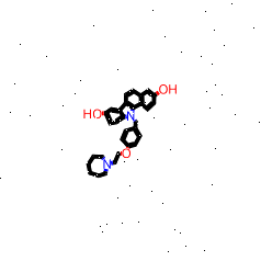 Oc1ccc2c(ccc3c4cc(O)ccc4n(Cc4ccc(OCCN5CCCCCC5)cc4)c23)c1